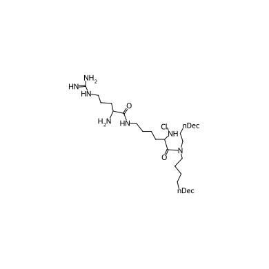 CCCCCCCCCCCCCCN(CCCCCCCCCCCC)C(=O)C(CCCCNC(=O)C(N)CCCNC(=N)N)NCl